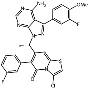 COc1ccc(-c2nn([C@@H](C)c3cc4scc(Cl)n4c(=O)c3-c3cccc(F)c3)c3ncnc(N)c23)cc1F